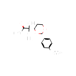 CCCC(=O)C(C)(C)[C@@H]1CCO[C@H](c2ccc(OC)cc2)O1